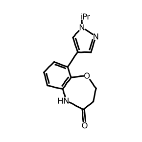 CC(C)n1cc(-c2cccc3c2OCCC(=O)N3)cn1